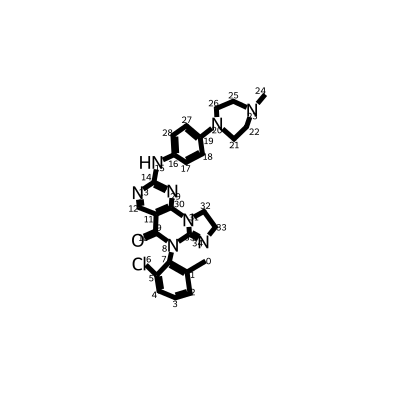 Cc1cccc(Cl)c1N1C(=O)c2cnc(Nc3ccc(N4CCN(C)CC4)cc3)nc2N2CCN=C21